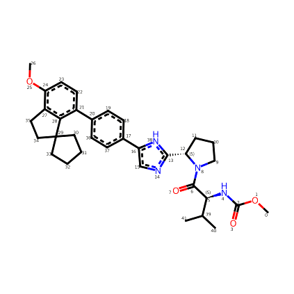 COC(=O)N[C@H](C(=O)N1CCC[C@H]1c1ncc(-c2ccc(-c3ccc(OC)c4c3C3(CCCC3)CC4)cc2)[nH]1)C(C)C